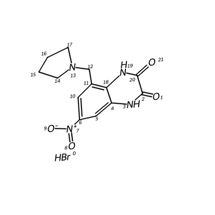 Br.O=c1[nH]c2cc([N+](=O)[O-])cc(CN3CCCC3)c2[nH]c1=O